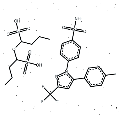 CCCC(OC(CCC)S(=O)(=O)O)S(=O)(=O)O.Cc1ccc(-c2cc(C(F)(F)F)nn2-c2ccc(S(N)(=O)=O)cc2)cc1